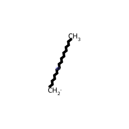 [CH2]CCCCCC/C=C/CCCCCCCCCCC